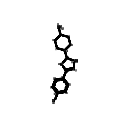 NC1CCN(C2NN=C(c3ccc(Cl)cc3)O2)CC1